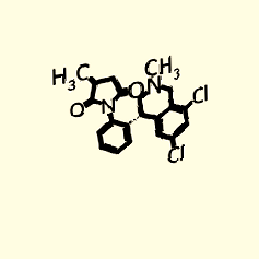 CC1CC(=O)N(c2ccccc2[C@@H]2CN(C)Cc3c(Cl)cc(Cl)cc32)C1=O